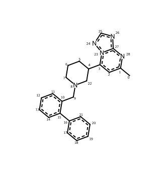 Cc1cc(C2CCCN(Cc3ccccc3-c3ccccc3)C2)n2ncnc2n1